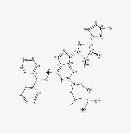 CC(C)CN(CO)c1nc(NCC(c2ccccc2)c2ccccc2)c2ncn([C@@H]3O[C@H](c4nnn(C)n4)[C@@H](O)[C@H]3O)c2n1.O=CO